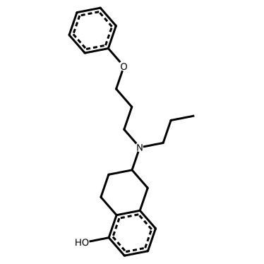 CCCN(CCCOc1ccccc1)C1CCc2c(O)cccc2C1